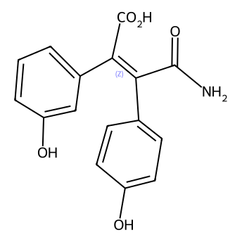 NC(=O)/C(=C(\C(=O)O)c1cccc(O)c1)c1ccc(O)cc1